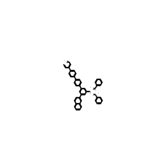 Cc1cc(-c2ccc(-c3ccc(-c4cc(-c5ccc6ccccc6c5)cc(-c5nc(-c6ccccc6)nc(-c6ccccc6)n5)c4)cc3)cc2)ccn1